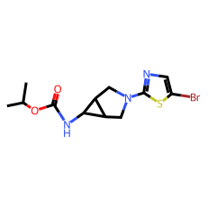 CC(C)OC(=O)NC1C2CN(c3ncc(Br)s3)CC21